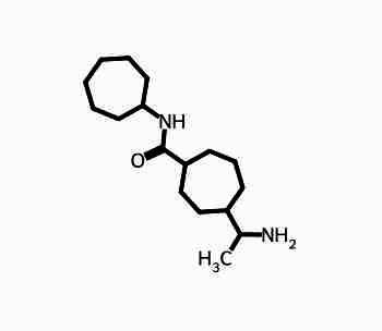 CC(N)C1CCCC(C(=O)NC2CCCCCC2)CC1